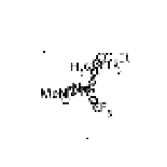 CCOC(=O)C(C)Oc1ccc(SCc2sc(-c3ccc(C(F)(F)F)cc3)nc2CN2CCN(C(=O)NC)CC2)cc1C